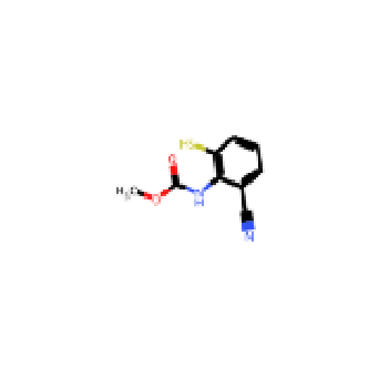 COC(=O)Nc1c(S)cccc1C#N